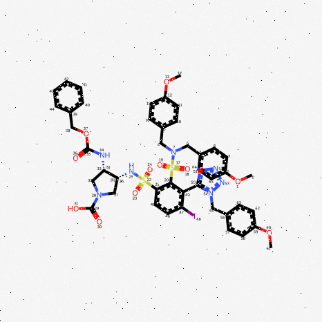 COc1ccc(CN(Cc2ccc(OC)cc2)S(=O)(=O)c2c(S(=O)(=O)N[C@@H]3CN(C(=O)O)C[C@@H]3NC(=O)OCc3ccccc3)ccc(I)c2-c2nnnn2Cc2ccc(OC)cc2)cc1